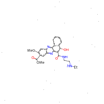 CCNCCNC(=O)c1c(O)c2ccccc2c2nc3cc(OC)c(C(=O)OC)cc3nc12